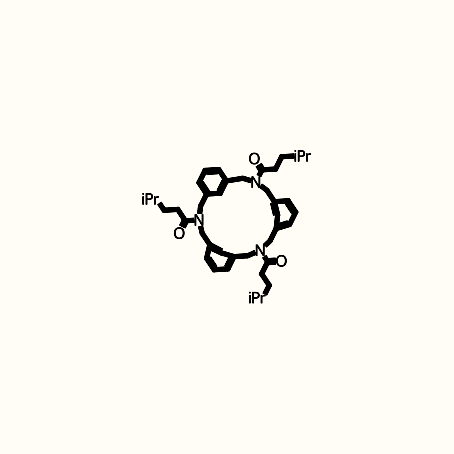 CC(C)CCC(=O)N1Cc2cccc(c2)CN(C(=O)CCC(C)C)Cc2cccc(c2)CN(C(=O)CCC(C)C)Cc2cccc(c2)C1